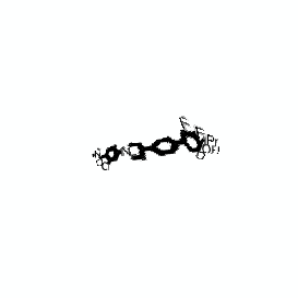 CC(C)[C@@]1(O)C(=O)CC(C2CCC(C3CCN(c4ccc(C(=O)N(C)C)c(Cl)c4)CC3)CC2)CC1(F)F